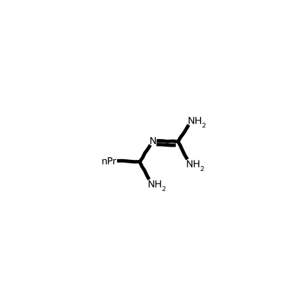 CCCC(N)N=C(N)N